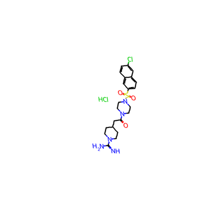 Cl.N=C(N)N1CCC(CC(=O)N2CCN(S(=O)(=O)c3ccc4cc(Cl)ccc4c3)CC2)CC1